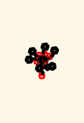 O=Cc1cccc([C@@H]2O[C@H](COCc3ccccc3)[C@@H](OCc3ccccc3)[C@H](OCc3ccccc3)[C@H]2OCc2ccccc2)c1C1=Cc2ccccc2C1